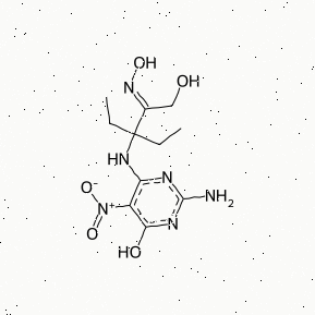 CCC(CC)(Nc1nc(N)nc(O)c1[N+](=O)[O-])C(CO)=NO